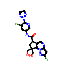 O=C(Nc1cnc(-n2nccn2)c(Cl)c1)C1CC(CO)(CO)c2c1cnc1cc(Cl)nn21